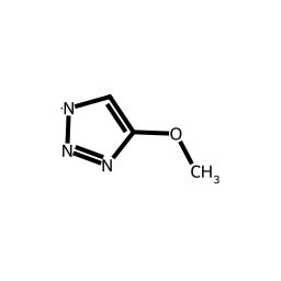 COC1=C[N]N=N1